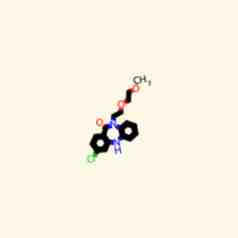 COCCOCCN1C(=O)c2ccc(Cl)cc2Nc2ccccc21